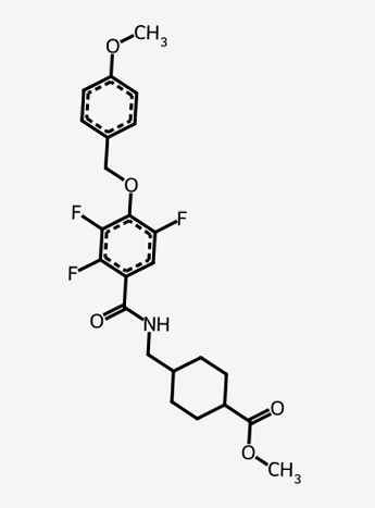 COC(=O)C1CCC(CNC(=O)c2cc(F)c(OCc3ccc(OC)cc3)c(F)c2F)CC1